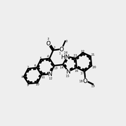 COC(=O)c1cc2ccccc2nc1-c1nc2c(OC)cccc2[nH]1